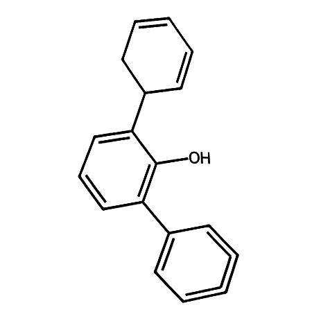 Oc1c(C2=CC=C=C=C2)cccc1C1C=CC=CC1